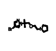 CC(C)(COCCN1CCCC1)n1cc(Br)cn1